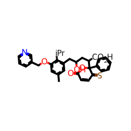 Cc1cc(CC(O)CC(C(=O)O)C2(c3ccccc3)OC(=O)C=CC2=S)c(C(C)C)c(OCc2cccnc2)c1